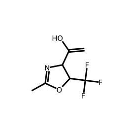 C=C(O)C1N=C(C)OC1C(F)(F)F